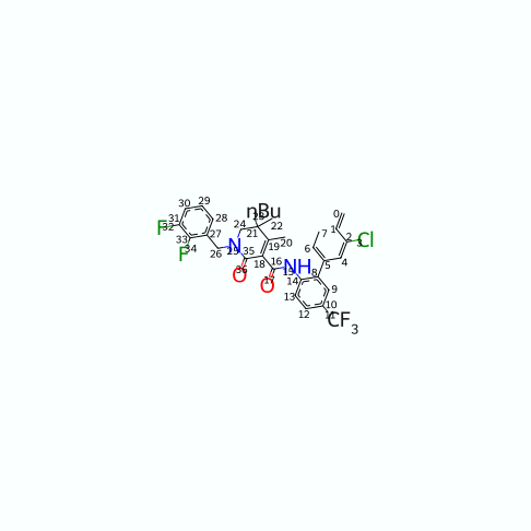 C=C/C(Cl)=C\C(=C/C)c1cc(C(F)(F)F)ccc1NC(=O)C1=C(C)C(C)(CCCC)CN(Cc2cccc(F)c2F)C1=O